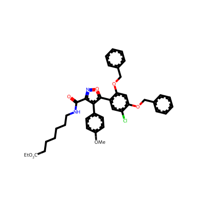 CCOC(=O)CCCCCCNC(=O)c1noc(-c2cc(Cl)c(OCc3ccccc3)cc2OCc2ccccc2)c1-c1ccc(OC)cc1